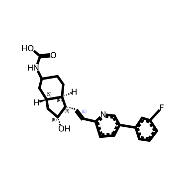 O=C(O)NC1CC[C@@H]2[C@@H](C1)C[C@@H](O)[C@H]2/C=C/c1ccc(-c2cccc(F)c2)cn1